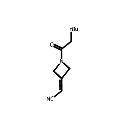 CC(C)(C)CC(=O)N1CC(=CC#N)C1